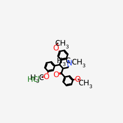 COc1cccc(C(=O)C(CN(C)C)C(c2cccc(OC)c2)c2cccc(OC)c2)c1.Cl